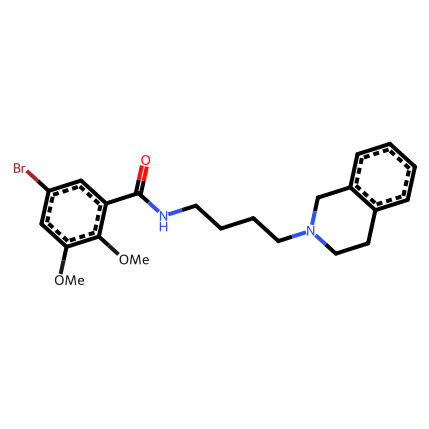 COc1cc(Br)cc(C(=O)NCCCCN2CCc3ccccc3C2)c1OC